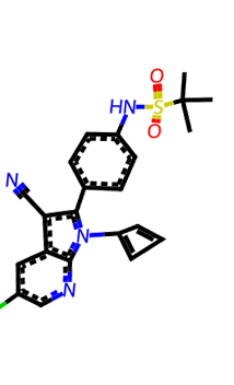 CC(C)(C)S(=O)(=O)Nc1ccc(-c2c(C#N)c3cc(Cl)cnc3n2C2=CC=C2)cc1